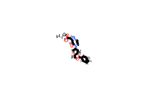 COC(=O)c1nccn([C@@H]2CO[C@@H]3COC(c4ccccc4)O[C@H]3C2)c1=O